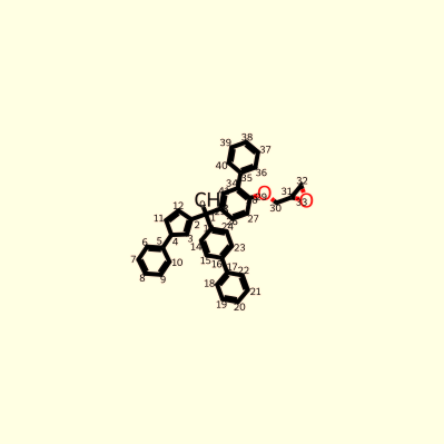 CC(C1=CC(c2ccccc2)C=C1)(c1ccc(-c2ccccc2)cc1)c1ccc(OCC2CO2)c(-c2ccccc2)c1